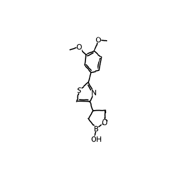 COc1ccc(-c2nc(C3COB(O)C3)cs2)cc1OC